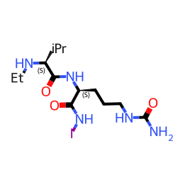 CCN[C@H](C(=O)N[C@@H](CCCNC(N)=O)C(=O)NI)C(C)C